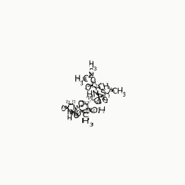 CCCSP(=O)(NC(C)C(=O)OC(C)C)OC[C@H]1O[C@@H](n2ccc(=O)[nH]c2=O)[C@](C)(O)[C@@H]1O